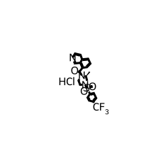 C[C@H]1CN(S(=O)(=O)c2ccc(C(F)(F)F)cc2)CCN1C(=O)c1cccc2ccncc12.Cl